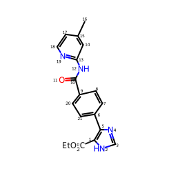 CCOC(=O)c1[nH]cnc1-c1ccc(C(=O)Nc2cc(C)ccn2)cc1